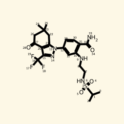 CC(C)S(=O)(=O)NCCNc1cc(-n2nc(C(F)(F)F)c3c2CC(C)(C)CC3=O)ccc1C(N)=O